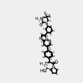 CC(C(=O)N1CCC[C@H]1CO)c1ccc(-c2cnn3c(-c4cccc(N(CC(F)(F)F)C(N)=O)c4)cnc3c2)cc1